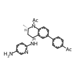 CC(=O)c1ccc(-c2ccc3c(c2)[C@H](Nc2ccc(N)cn2)C[C@H](C)N3C(C)=O)cc1